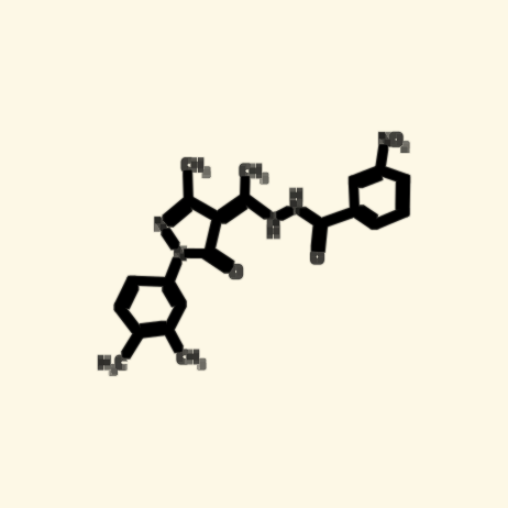 CC1=NN(c2ccc(C)c(C)c2)C(=O)/C1=C(/C)NNC(=O)c1cccc([N+](=O)[O-])c1